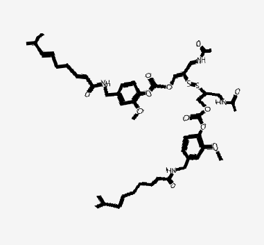 COc1cc(CNC(=O)CCCC/C=C/C(C)C)ccc1OC(=O)OCC(CNC(C)=O)SSC(CNC(C)=O)COC(=O)Oc1ccc(CNC(=O)CCCC/C=C/C(C)C)cc1OC